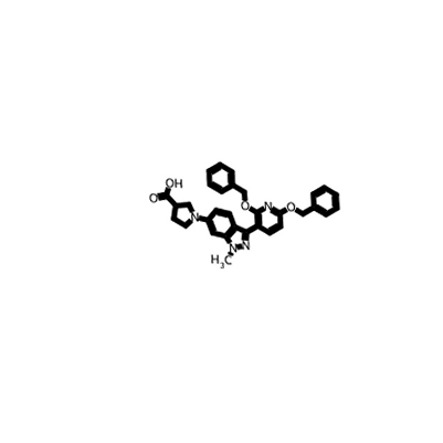 Cn1nc(-c2ccc(OCc3ccccc3)nc2OCc2ccccc2)c2ccc(N3CCC(C(=O)O)C3)cc21